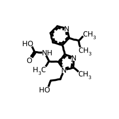 Cc1nc(-c2cccnc2C(C)C)c(C(C)NC(=O)O)n1CCO